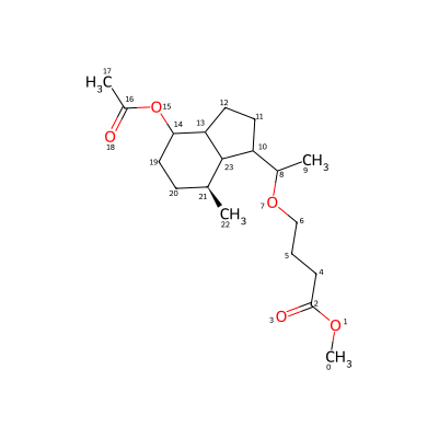 COC(=O)CCCOC(C)C1CCC2C(OC(C)=O)CC[C@H](C)C12